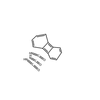 N=C=O.N=C=O.N=C=O.c1ccc2c(c1)=c1ccccc1=2